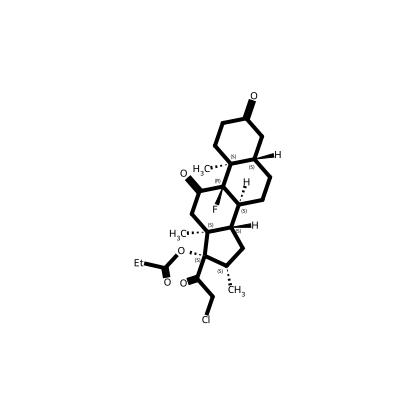 CCC(=O)O[C@@]1(C(=O)CCl)[C@@H](C)C[C@H]2[C@@H]3CC[C@H]4CC(=O)CC[C@]4(C)[C@@]3(F)C(=O)C[C@@]21C